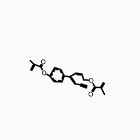 C#C/C=C(\C=C/COC(=O)C(=C)C)c1ccc(OC(=O)C(=C)C)cc1